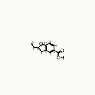 CCC1Cc2cc(C(=O)O)ccc2O1